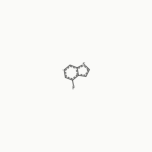 Fc1c[c]cc2sccc12